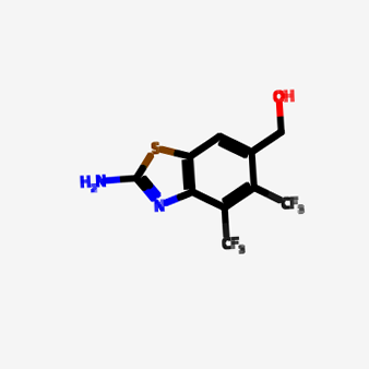 Nc1nc2c(C(F)(F)F)c(C(F)(F)F)c(CO)cc2s1